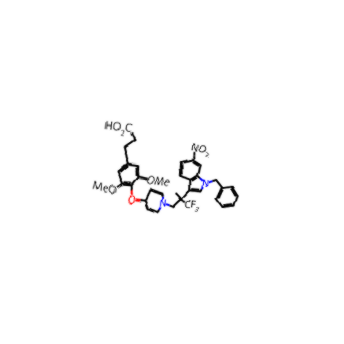 COc1cc(CCC(=O)O)cc(OC)c1OC1CCN(CC(C)(c2cn(Cc3ccccc3)c3cc([N+](=O)[O-])ccc23)C(F)(F)F)CC1